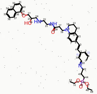 C\C=C/C(C=Cc1ccc2c(c1)CCCN2CCC(=O)NCCNCC(O)COc1cccc2ccccc12)=C\C=N\CCCP(=O)(OCC)OCC